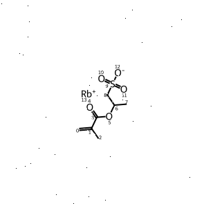 C=C(C)C(=O)OC(C)CS(=O)(=O)[O-].[Rb+]